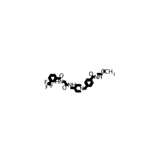 COCCNC(=O)c1ccc(CN2CCC(CNC(=O)CNC(=O)c3cccc(C(F)(F)F)c3)CC2)cc1